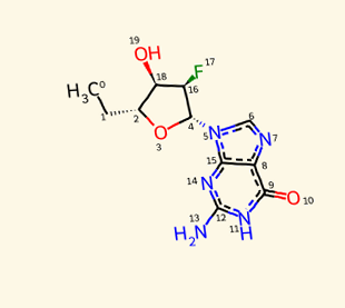 CC[C@H]1O[C@@H](n2cnc3c(=O)[nH]c(N)nc32)[C@H](F)[C@@H]1O